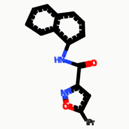 CC(C)c1cc(C(=O)Nc2cccc3ccccc23)no1